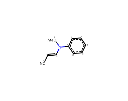 CON(C=CC#N)c1ccccc1